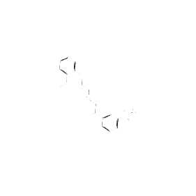 Cc1ccc(C(O)CNCCOc2ccccc2CO)cc1S(N)(=O)=O